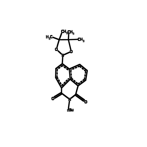 CCCCN1C(=O)c2cccc3c(B4OC(C)(C)C(C)(C)O4)ccc(c23)C1=O